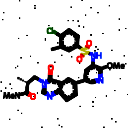 CNC(=O)[C@H](C)Cn1cnc2ccc(-c3cnc(OC)c(NS(=O)(=O)c4ccc(Cl)c(C)c4)c3)cc2c1=O